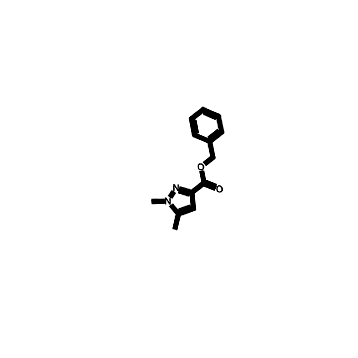 Cc1cc(C(=O)OCc2ccccc2)nn1C